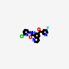 O=C(c1cncc(F)c1)c1cc(C(=O)Nc2cccc(Cl)n2)c2ncccc2c1